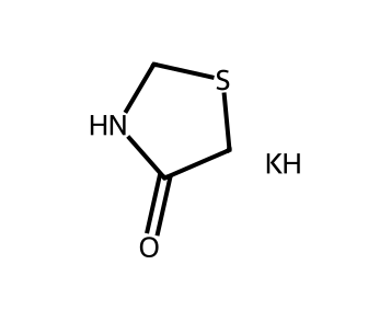 O=C1CSCN1.[KH]